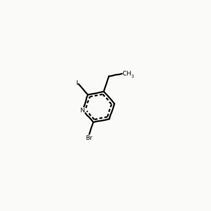 CCc1ccc(Br)nc1I